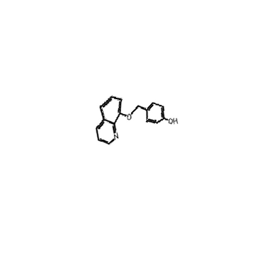 Oc1ccc(COc2cccc3cccnc23)cc1